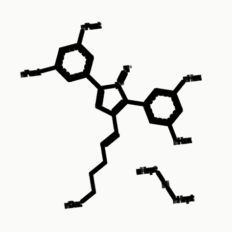 CCCCCCCCCCCCCC=CC1=C(c2cc(CCCCCC)cc(CCCCCC)c2)[N+](=[N-])C(c2cc(CCCCC)cc(CCCCC)c2)=C1.CCCCCC[CH2][Ni][CH2]CCCCCC